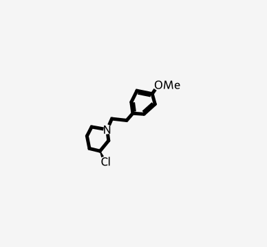 COc1ccc(CCN2CCC[C@H](Cl)C2)cc1